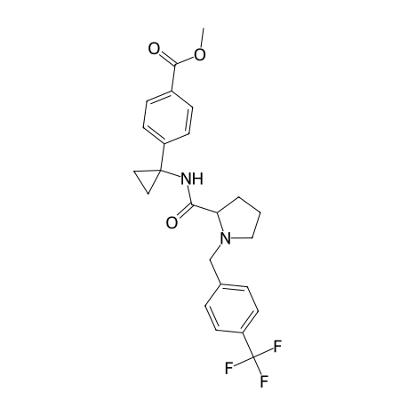 COC(=O)c1ccc(C2(NC(=O)C3CCCN3Cc3ccc(C(F)(F)F)cc3)CC2)cc1